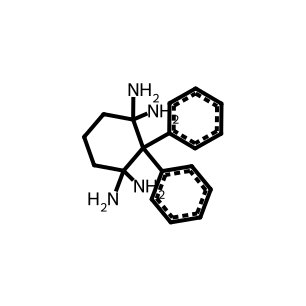 NC1(N)CCCC(N)(N)C1(c1ccccc1)c1ccccc1